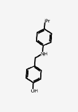 CC(C)c1ccc(NCc2ccc(O)cc2)cc1